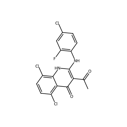 CC(=O)c1c(Nc2ccc(Cl)cc2F)[nH]c2c(Cl)ccc(Cl)c2c1=O